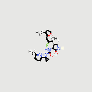 C=C(/C(F)=C\C1=C(C)CCO1)[C@@H]1CNC(=O)[C@H]1NC(=O)NC1(c2cccc(C)n2)CC1